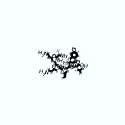 C/C=C/C[C@H](NC(=O)[C@H](CCCCN)NC(=O)[C@H](CCCCN)NC(=O)[C@H](C)N)C(=O)N[C@@H](Cc1cccc(Cl)c1)C(=O)N[C@@H](CC(C)C)C(=O)O